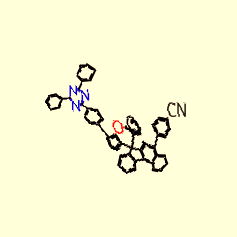 N#Cc1ccc(-c2cc3c(c4ccccc24)-c2ccccc2C32c3ccccc3Oc3c(-c4ccc(-c5nc(-c6ccccc6)nc(-c6ccccc6)n5)cc4)cccc32)cc1